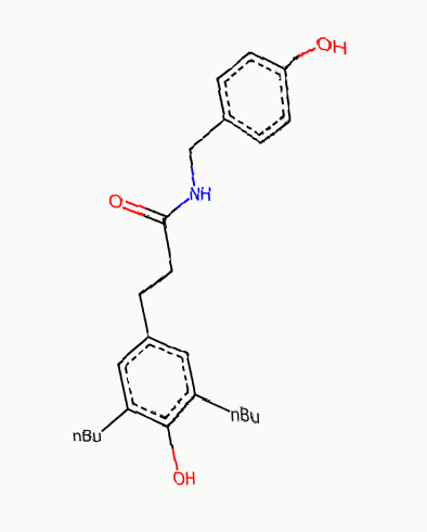 CCCCc1cc(CCC(=O)NCc2ccc(O)cc2)cc(CCCC)c1O